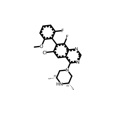 COc1cccc(F)c1-c1c(Cl)cc2c(N3C[C@@H](C)N[C@@H](C)C3)ncnc2c1F